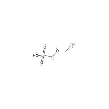 CCCCOOS(=O)(=O)O